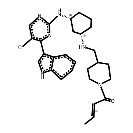 C/C=C/C(=O)N1CCC(CN[C@H]2CCC[C@@H](Nc3ncc(Cl)c(-c4c[nH]c5ccccc45)n3)C2)CC1